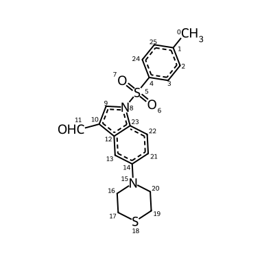 Cc1ccc(S(=O)(=O)n2cc(C=O)c3cc(N4CCSCC4)ccc32)cc1